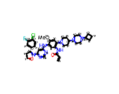 C=CC(=O)Nc1cc(Nc2cc(N3OCC[C@@H]3c3ccc(Cl)c(F)c3)ncn2)c(OC)cc1N1CCC(N2CCN(C3CCC3)CC2)CC1